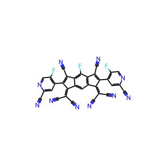 N#CC(C#N)=C1C(c2cc(C#N)ncc2F)=C(C#N)c2c1cc1c(c2F)C(C#N)=C(c2cc(C#N)ncc2F)C1=C(C#N)C#N